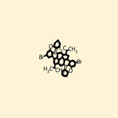 CC(C)c1cc2c3c(cc4c(C(C)C)cc5c6c(cc1c3c46)B1c3ccccc3Oc3cc(Br)cc-5c31)B1c3ccccc3Oc3cc(Br)cc-2c31